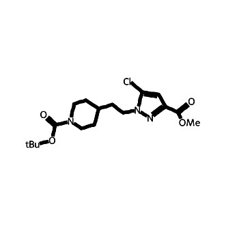 COC(=O)c1cc(Cl)n(CCC2CCN(C(=O)OC(C)(C)C)CC2)n1